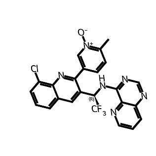 Cc1ccc(-c2nc3c(Cl)cccc3cc2[C@@H](Nc2ncnc3cccnc23)C(F)(F)F)c[n+]1[O-]